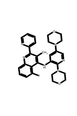 Cc1c(-c2ccccn2)nc2cccc(F)c2c1Nc1cc(N2CCOCC2)cnc1N1CCOCC1